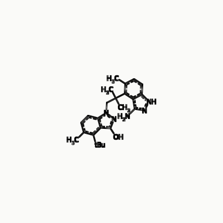 Cc1ccc2[nH]nc(N)c2c1C(C)(C)Cn1nc(O)c2c(C(C)(C)C)c(C)ccc21